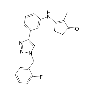 CC1=C(Nc2cccc(-c3cn(Cc4ccccc4F)nn3)c2)CCC1=O